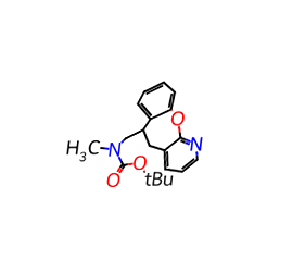 CN(CC1Cc2cccnc2Oc2ccccc21)C(=O)OC(C)(C)C